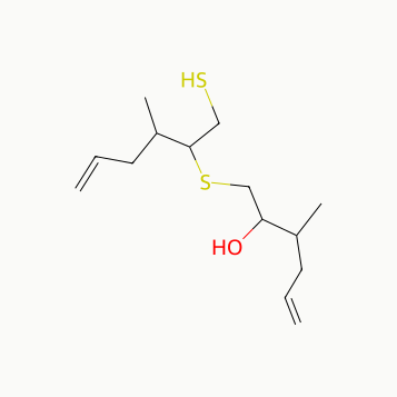 C=CCC(C)C(O)CSC(CS)C(C)CC=C